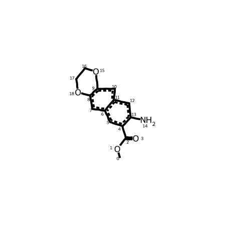 COC(=O)c1cc2cc3c(cc2cc1N)OCCO3